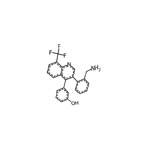 NCc1ccccc1-c1cnc2c(C(F)(F)F)cccc2c1-c1cccc(O)c1